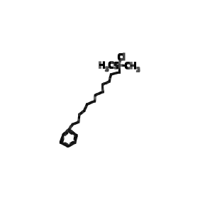 C[Si](C)(Cl)CCCCCCCCCCCCc1ccccc1